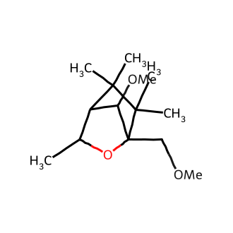 COCC12OC(C)C(C1OC)C(C)(C)C2(C)C